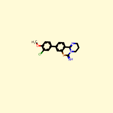 COc1ccc(-c2ccc3c(c2)SC(=N)N2CCCN=C32)cc1Cl